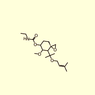 CCNC(=O)OC1CC[C@]2(CO2)C(C(C)(C)OCC=C(C)C)C1OC